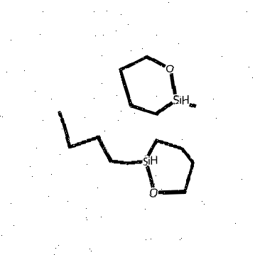 CCCC[SiH]1CCCCO1.C[SiH]1CCCCO1